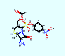 CC(=O)OCC1=C(S(=O)(=O)Oc2ccc([N+](=O)[O-])cc2)N2C(=O)[C@@H](N)[C@H]2SC1